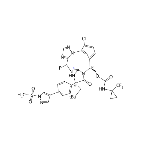 CC(C)(C)C[C@]1(c2ccc(-c3cnn(S(C)(=O)=O)c3)cc2)N/C2=N\C(F)c3ncnn3-c3cc(ccc3Cl)[C@@H](COC(=O)NC3(C(F)(F)F)CC3)N2C1=O